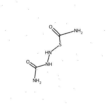 NC(=O)NNSC(N)=O